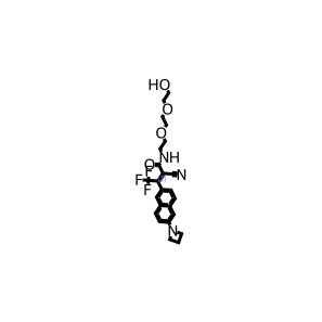 N#C/C(C(=O)NCCOCCOCCO)=C(\c1ccc2cc(N3CCC3)ccc2c1)C(F)(F)F